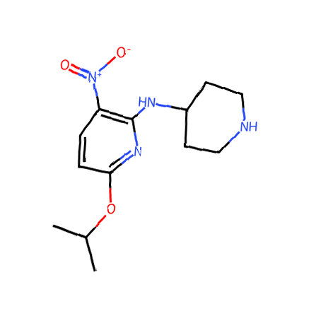 CC(C)Oc1ccc([N+](=O)[O-])c(NC2CCNCC2)n1